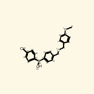 COc1ccc(COCc2ccc(B(O)c3ccc(Cl)cc3)cc2)cc1